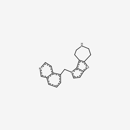 c1cc(Cn2ccc3sc4c(c32)CCNCC4)c2ccncc2c1